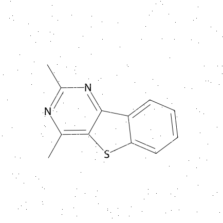 Cc1nc(C)c2sc3ccccc3c2n1